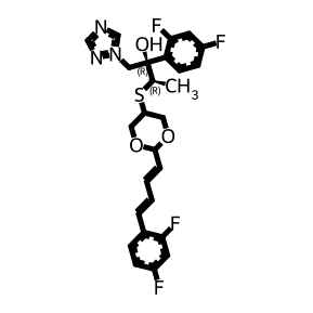 C[C@@H](SC1COC(C=CC=Cc2ccc(F)cc2F)OC1)[C@](O)(Cn1cncn1)c1ccc(F)cc1F